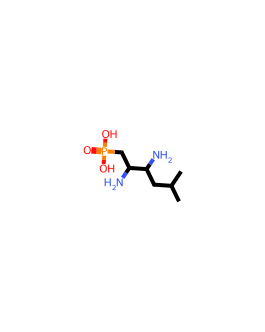 CC(C)CC(N)C(N)CP(=O)(O)O